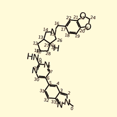 Cn1cc2cc(-c3cnc(N[C@@H]4CC5CN(Cc6ccc7c(c6)OCO7)C[C@H]5C4)nc3)ccc2n1